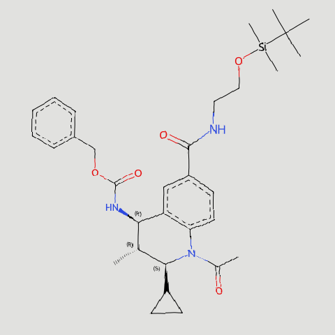 CC(=O)N1c2ccc(C(=O)NCCO[Si](C)(C)C(C)(C)C)cc2[C@H](NC(=O)OCc2ccccc2)[C@@H](C)[C@@H]1C1CC1